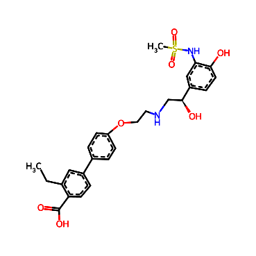 CCc1cc(-c2ccc(OCCNC[C@H](O)c3ccc(O)c(NS(C)(=O)=O)c3)cc2)ccc1C(=O)O